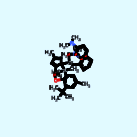 COc1c(C(C)(C)C)cc(C)cc1[Si](C)(C)[C]1([Sc]([CH2]c2ccccc2N(C)C)[CH2]c2ccccc2N(C)C)C=C(C)C=C1C